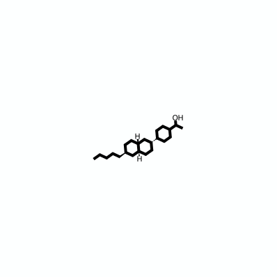 CCCCC[C@H]1CC[C@@H]2C[C@H](C3CCC(C(C)O)CC3)CC[C@H]2C1